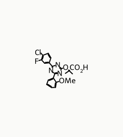 COc1ccccc1-c1nc(OC(C)(C)C(=O)O)nc(-c2ccc(Cl)c(F)c2)n1